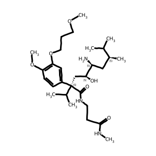 CNC(=O)CCNC(=O)[C@](C[C@H](O)[C@@H](N)C[C@H](C)C(C)C)(c1ccc(OC)c(OCCCOC)c1)C(C)C